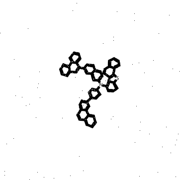 c1ccc2c(c1)ccc1ccc(-c3ccc(N(c4ccc5ccc(-c6cc7ccccc7c7ccccc67)cc5c4)c4cccc5sc6c7ccccc7ccc6c45)cc3)cc12